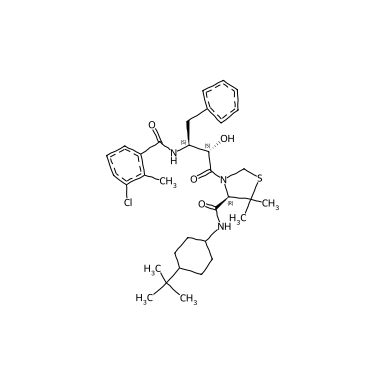 Cc1c(Cl)cccc1C(=O)N[C@@H](Cc1ccccc1)[C@H](O)C(=O)N1CSC(C)(C)[C@H]1C(=O)NC1CCC(C(C)(C)C)CC1